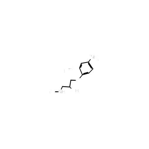 CC(C)NCC(O)COc1ccc(N)cc1.CCO